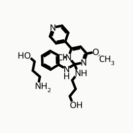 COC1=NC(NCCCO)(Nc2ccccc2)N(Cl)C(c2ccncc2)=C1.NCCCO